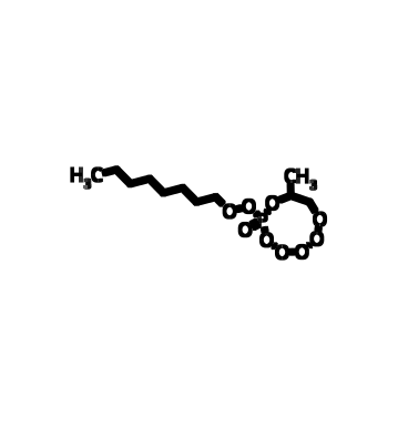 CCCCCCCCOOP1(=O)OOOOOCC(C)O1